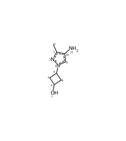 Cc1nn(C2CC(O)C2)cc1N